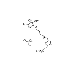 CCC(=O)O.CCCc1c(OCCCCSCC2CSC(CCC(=O)O)S2)ccc(C(C)=O)c1O